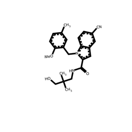 COc1ccc(C)cc1Cn1c(C(=O)NCC(C)(C)CO)cc2cc(C#N)ccc21